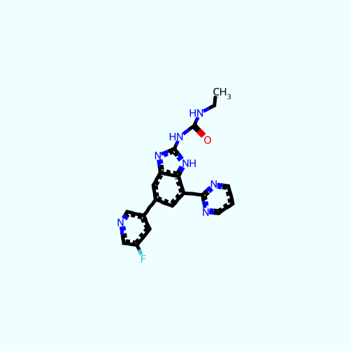 CCNC(=O)Nc1nc2cc(-c3cncc(F)c3)cc(-c3ncccn3)c2[nH]1